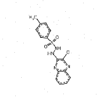 Cc1ccc(S(=O)(=O)NNc2nc3ccccc3nc2Cl)cc1